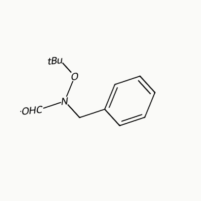 CC(C)(C)ON([C]=O)Cc1ccccc1